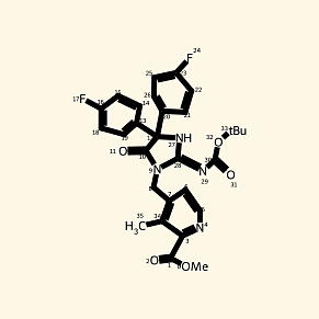 COC(=O)c1nccc(CN2C(=O)C(c3ccc(F)cc3)(c3ccc(F)cc3)NC2=NC(=O)OC(C)(C)C)c1C